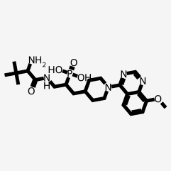 COc1cccc2c(N3CCC(CC(CNC(=O)C(N)C(C)(C)C)P(=O)(O)O)CC3)ncnc12